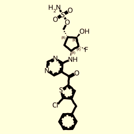 NS(=O)(=O)OC[C@H]1C[C@@H](Nc2ncncc2C(=O)c2cc(Cc3ccccc3)c(Cl)s2)[C@@H](F)[C@@H]1O